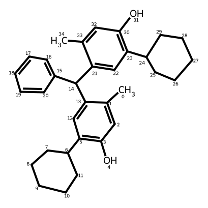 Cc1cc(O)c(C2CCCCC2)cc1C(c1ccccc1)c1cc(C2CCCCC2)c(O)cc1C